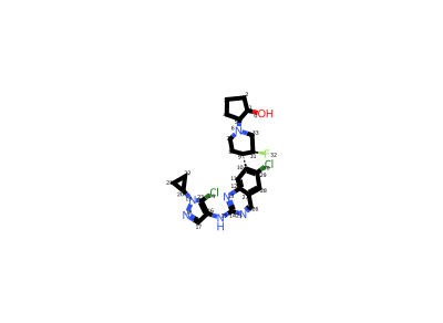 OC1CCCC1N1CC[C@@H](c2cc3nc(Nc4cnn(C5CC5)c4Cl)ncc3cc2Cl)[C@H](F)C1